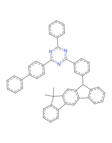 CC1(C)c2ccccc2-c2cc3c(cc21)C(c1cccc(-c2nc(-c4ccccc4)nc(-c4ccc(-c5ccccc5)cc4)n2)c1)c1ccccc1-3